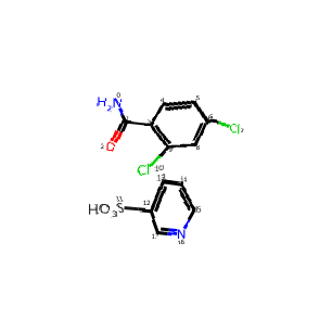 NC(=O)c1ccc(Cl)cc1Cl.O=S(=O)(O)c1cccnc1